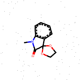 CN1C(=O)C2(OCCO2)c2ccccc21